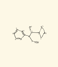 O=C(C1CCS1)C(CO)c1ccccc1